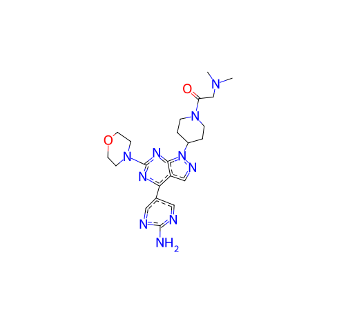 CN(C)CC(=O)N1CCC(n2ncc3c(-c4cnc(N)nc4)nc(N4CCOCC4)nc32)CC1